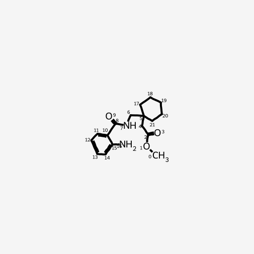 COC(=O)CC1(CNC(=O)c2ccccc2N)CCCCC1